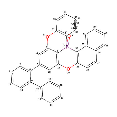 O=P12c3c(cc(-c4ccccc4-c4ccccc4)cc3Oc3ccc4ccccc4c31)Oc1ccc3ccccc3c12